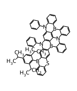 CC(C)c1cc(C(C)C)c(B2c3ccccc3Sc3cc4c(cc32)N(c2ccccc2)c2cc3c5c6c2B4c2ccccc2N6c2ccccc2B5c2ccccc2N3c2ccccc2)c(C(C)C)c1